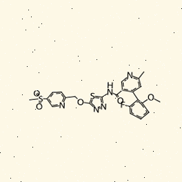 COc1cccc(F)c1-c1cc(C)ncc1C(=O)Nc1nnc(OCc2ccc(S(C)(=O)=O)cn2)s1